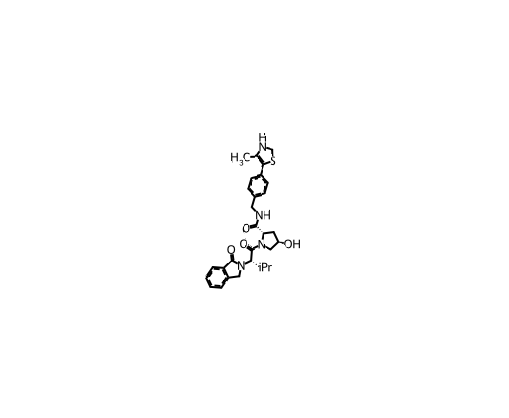 CC1=C(c2ccc(CNC(=O)[C@@H]3C[C@@H](O)CN3C(=O)[C@H](C(C)C)N3Cc4ccccc4C3=O)cc2)SCN1